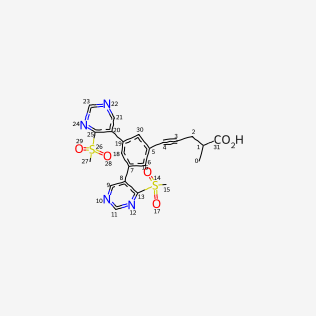 CC(CC#Cc1cc(-c2cncnc2S(C)(=O)=O)cc(-c2cncnc2S(C)(=O)=O)c1)C(=O)O